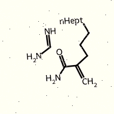 C=C(CCCCCCCCCC)C(N)=O.N=CN